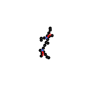 c1ccc(N(c2ccc(-c3ccc(-c4ccc5ccccc5c4)cc3)cc2)c2ccc(-c3ccc(-c4ccc(-c5ccc(-c6ccc7oc8ccccc8c7c6)c(N(c6ccc(-c7ccc(-c8ccc9ccccc9c8)cc7)cc6)c6ccc(-c7cccc8ccccc78)cc6)c5)c5ccccc45)cc3)cc2)c(-c2ccc3oc4ccccc4c3c2)c1